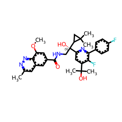 COc1cc(C(=O)NC[C@](O)(c2cc(C(C)(C)O)c(F)c(-c3ccc(F)cc3)n2)C2CC2(C)C)cc2cc(C)nnc12